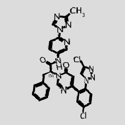 Cc1ncn(-c2ccc(NC(=O)[C@H](Cc3ccccc3)n3cnc(-c4cc(Cl)ccc4-n4cc(Cl)nn4)cc3=O)cn2)n1